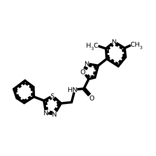 Cc1ccc(-c2cc(C(=O)NCc3nnc(-c4ccccc4)s3)on2)c(C)n1